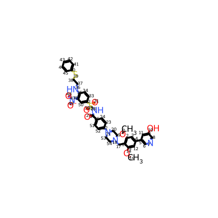 COc1cc(-c2cncc(O)c2)cc(OC)c1CN1CCN(c2ccc(C(=O)NS(=O)(=O)c3ccc(NCCSc4ccccc4)c([N+](=O)[O-])c3)cc2)CC1